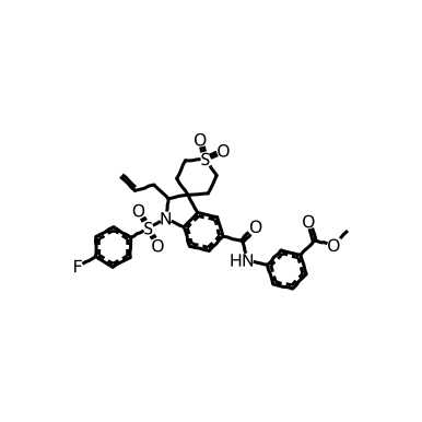 C=CCC1N(S(=O)(=O)c2ccc(F)cc2)c2ccc(C(=O)Nc3cccc(C(=O)OC)c3)cc2C12CCS(=O)(=O)CC2